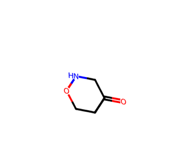 O=C1CCONC1